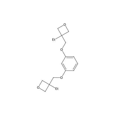 CCC1(COc2cccc(OCC3(CC)COC3)c2)COC1